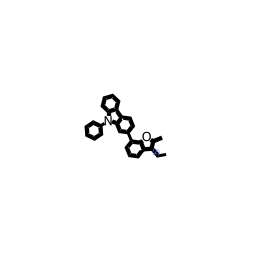 C=c1oc2c(-c3ccc4c5ccccc5n(-c5ccccc5)c4c3)cccc2/c1=C/C